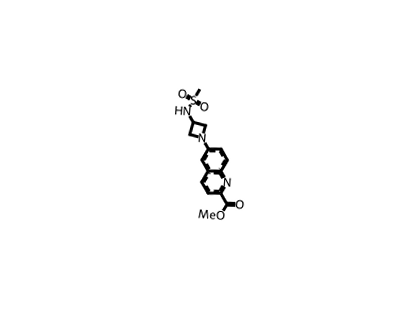 COC(=O)c1ccc2cc(N3CC(NS(C)(=O)=O)C3)ccc2n1